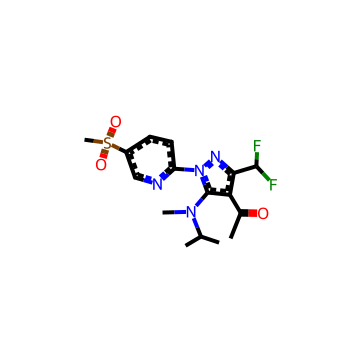 CC(=O)c1c(C(F)F)nn(-c2ccc(S(C)(=O)=O)cn2)c1N(C)C(C)C